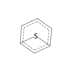 c1cc2cc(c1)S2